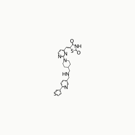 O=C1NC(=O)C(=Cc2ccnc(N3CCC(CNCc4ccc(-c5ccsc5)nc4)CC3)n2)S1